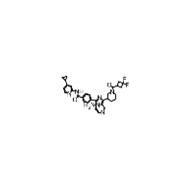 N[N+]12C=CN=CC1=C(C1CCCN(C(=O)C3CC(F)(F)C3)C1)N=C2c1ccc(C(=O)Nc2cc(C3CC3)ccn2)cc1